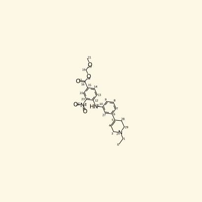 CCN1CC=C(c2cccc(Nc3ccc(C(=O)OCOC)cc3[N+](=O)[O-])c2)CC1